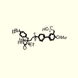 CCN1C(=O)NNC1(CCC(F)(F)c1ccc(-c2ccc(OC)c(CC(=O)O)c2)cc1)Cc1ccc(C(C)(C)C)cc1